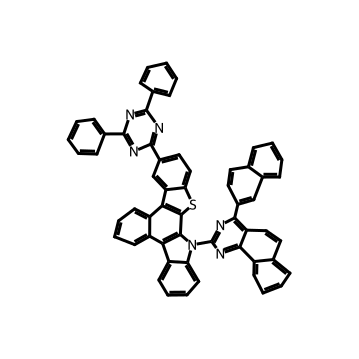 c1ccc(-c2nc(-c3ccccc3)nc(-c3ccc4sc5c(c4c3)c3ccccc3c3c4ccccc4n(-c4nc(-c6ccc7ccccc7c6)c6ccc7ccccc7c6n4)c53)n2)cc1